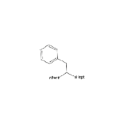 CCCCCCCC(CCCCC)Cc1cc[c]cc1